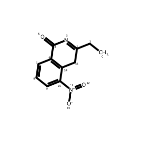 CCC1=NC(=O)c2cccc([N+](=O)[O-])c2C1